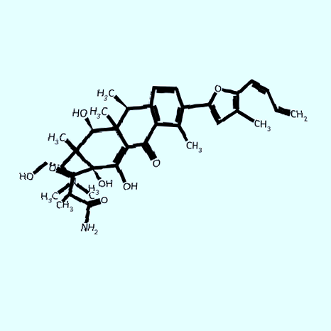 C=C/C=C\c1oc(-c2ccc3c(c2C)C(=O)C2=C(O)[C@](O)(C(=O)C(C)C(N)=O)C(C)([C@@H](CO)N(C)C)[C@@H](O)C2(C)[C@H]3C)cc1C